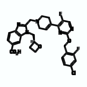 O=C(O)c1ccc2nc(CN3CC=C(c4nc(OCc5ccc(Cl)cc5F)ncc4F)CC3)n(C[C@@H]3CCO3)c2c1